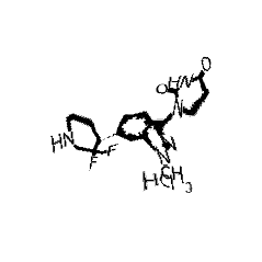 Cl.Cn1nc(N2CCC(=O)NC2=O)c2ccc([C@H]3CCNCC3(F)F)cc21